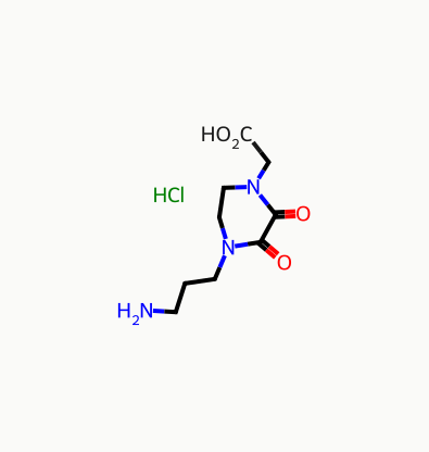 Cl.NCCCN1CCN(CC(=O)O)C(=O)C1=O